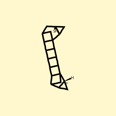 SC12CC3CC4(C3C3C5C(C34)C3C5C4C5CC43[C@@H]3CC53)C1C2